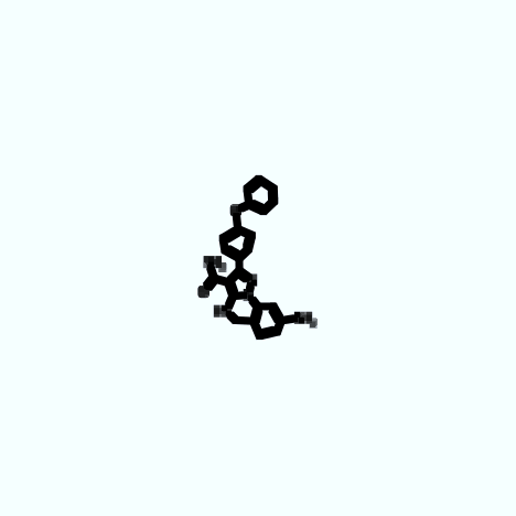 NC(=O)c1c(-c2ccc(Oc3ccccc3)cc2)nn2c1NCc1ccc(N)cc1-2